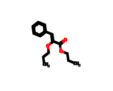 CCCOC(=O)C(=Cc1ccccc1)OCCC